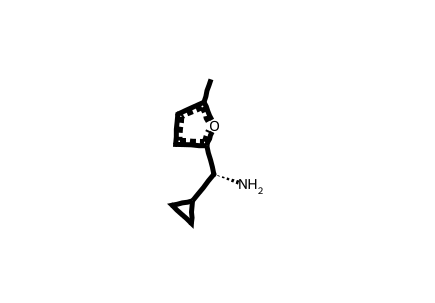 Cc1ccc([C@H](N)C2CC2)o1